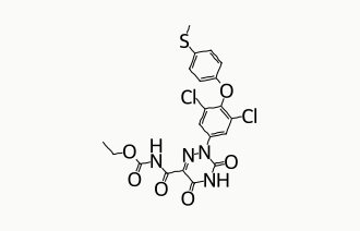 CCOC(=O)NC(=O)c1nn(-c2cc(Cl)c(Oc3ccc(SC)cc3)c(Cl)c2)c(=O)[nH]c1=O